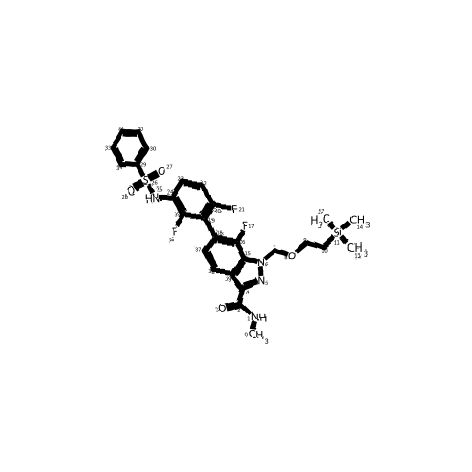 CNC(=O)c1nn(COCC[Si](C)(C)C)c2c(F)c(-c3c(F)ccc(NS(=O)(=O)c4ccccc4)c3F)ccc12